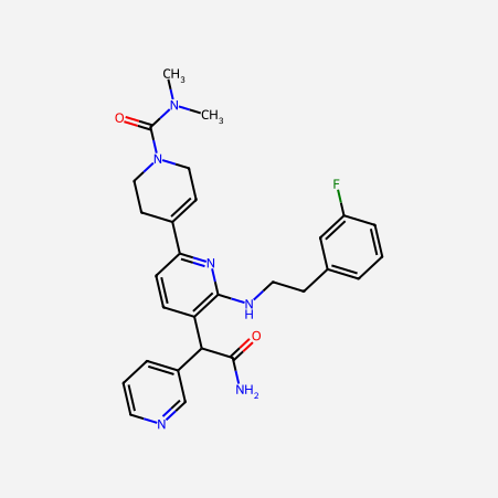 CN(C)C(=O)N1CC=C(c2ccc(C(C(N)=O)c3cccnc3)c(NCCc3cccc(F)c3)n2)CC1